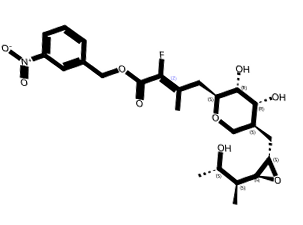 C/C(C[C@@H]1OC[C@H](C[C@@H]2O[C@H]2[C@@H](C)[C@H](C)O)[C@@H](O)[C@H]1O)=C(/F)C(=O)OCc1cccc([N+](=O)[O-])c1